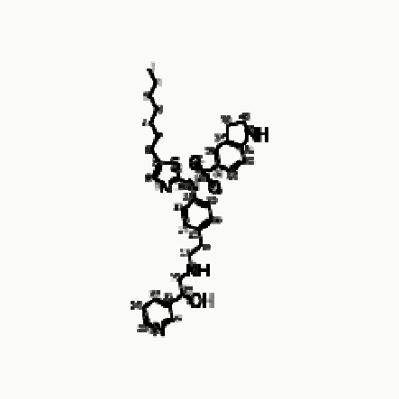 CCCCCCCc1cnc(N(c2ccc(CCNCC(O)c3cccnc3)cc2)S(=O)(=O)c2ccc3c(c2)CCN3)s1